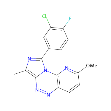 COc1ccc2nnc3c(C)nc(-c4ccc(F)c(Cl)c4)n3c2n1